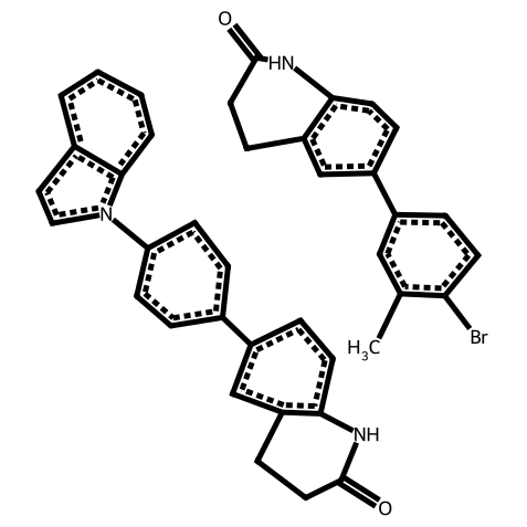 Cc1cc(-c2ccc3c(c2)CCC(=O)N3)ccc1Br.O=C1CCc2cc(-c3ccc(-n4ccc5ccccc54)cc3)ccc2N1